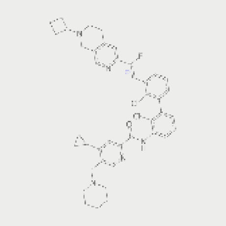 O=C(Nc1cccc(-c2cccc(/C=C(\F)c3cc4c(cn3)CN(C3CCC3)CC4)c2Cl)c1Cl)c1cc(C2CC2)c(CN2CCCCC2)cn1